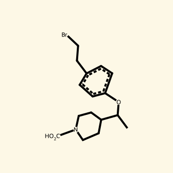 CC(Oc1ccc(CCBr)cc1)C1CCN(C(=O)O)CC1